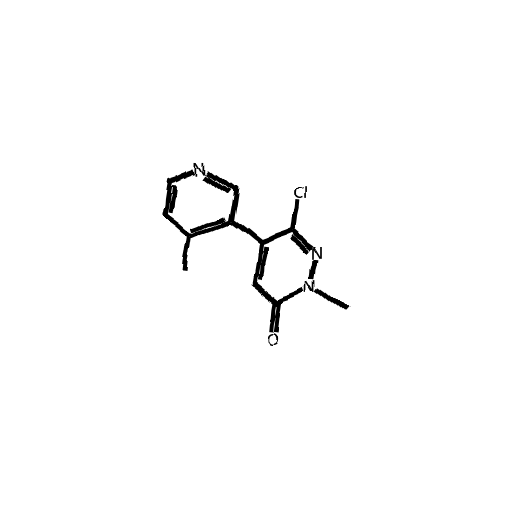 Cc1ccncc1-c1cc(=O)n(C)nc1Cl